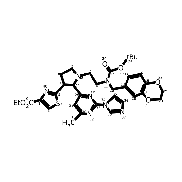 CCOC(=O)c1csc(C2CCN(CCN(Cc3ccc4c(c3)OCCO4)C(=O)OC(C)(C)C)C2c2cc(C)nc(-n3ccnc3)n2)n1